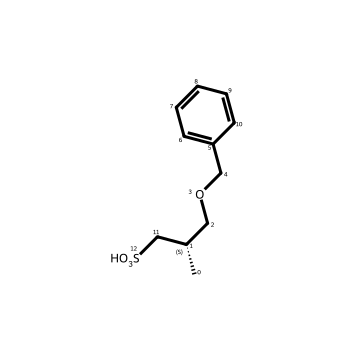 C[C@@H](COCc1ccccc1)CS(=O)(=O)O